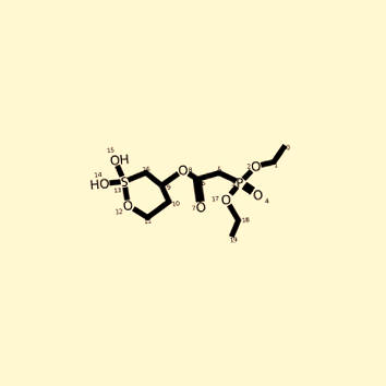 CCOP(=O)(CC(=O)OC1CCOS(O)(O)C1)OCC